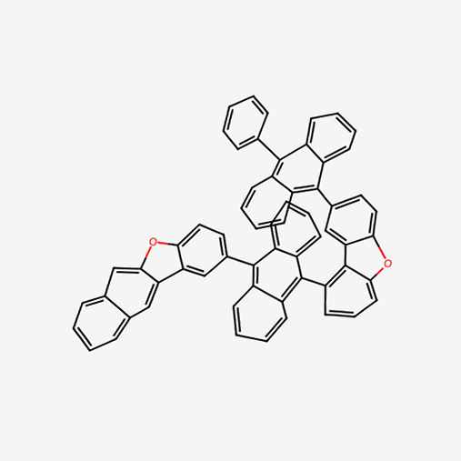 c1ccc(-c2c3ccccc3c(-c3ccc4oc5cccc(-c6c7ccccc7c(-c7ccc8oc9cc%10ccccc%10cc9c8c7)c7ccccc67)c5c4c3)c3ccccc23)cc1